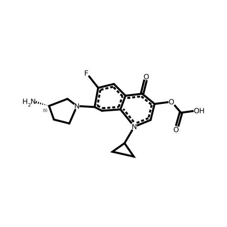 N[C@H]1CCN(c2cc3c(cc2F)c(=O)c(OC(=O)O)cn3C2CC2)C1